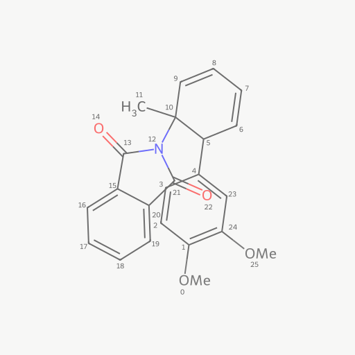 COc1ccc(C2C=CC=CC2(C)N2C(=O)c3ccccc3C2=O)cc1OC